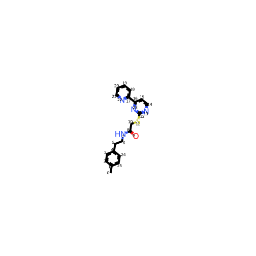 Cc1ccc(CCNC(=O)CSc2nccc(-c3ccccn3)n2)cc1